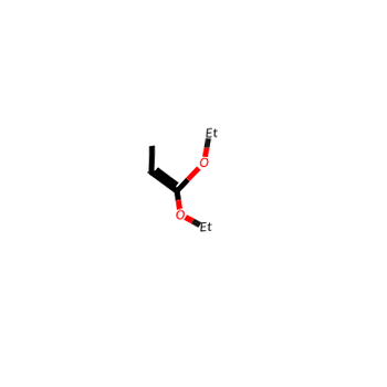 C[C]=C(OCC)OCC